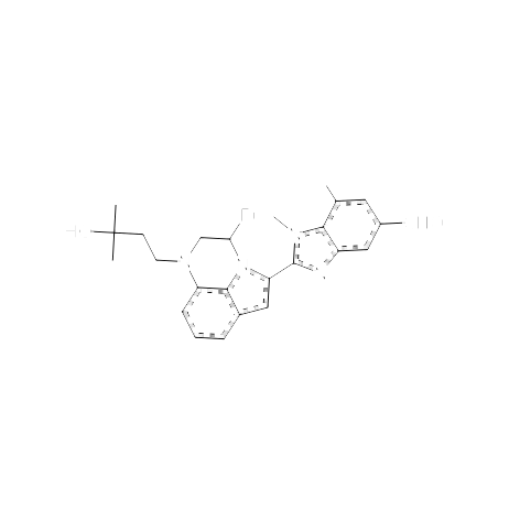 CCC1CN(CCC(C)(C)O)c2cccc3cc(-c4nc5cc(C=O)cc(F)c5n4C)n1c23